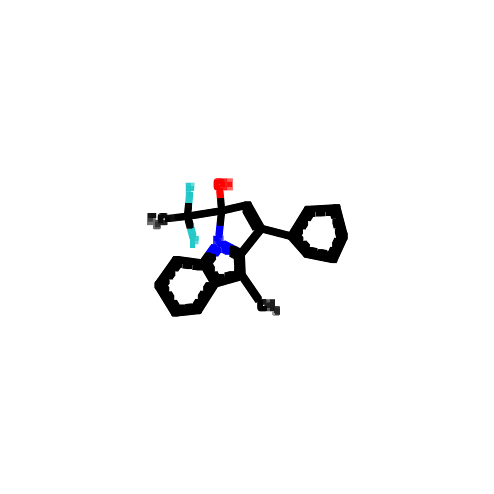 Cc1c2n(c3ccccc13)C(O)(C(F)(F)C(F)(F)F)C=C2c1ccccc1